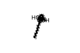 CCCCCCCCCCCCCCCC1(C(=O)O)CC=CCC1(CCC)C(=O)O